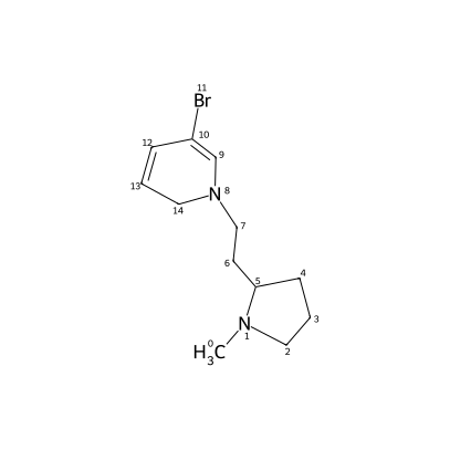 CN1CCCC1CCN1C=C(Br)C=CC1